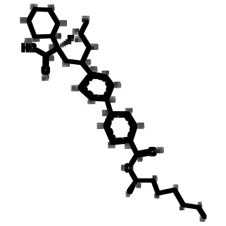 CCCCCC[C@@H](C)OC(=O)c1ccc(-c2ccc(C(CCC)C[C@@](F)(C(=O)O)C3CCCCC3)cc2)cc1